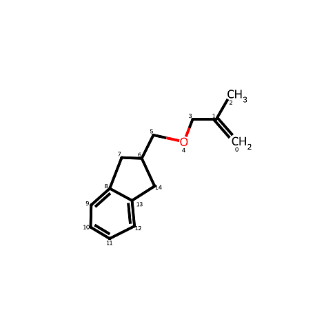 C=C(C)COCC1Cc2ccccc2C1